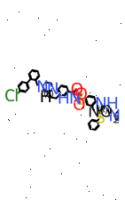 CN(C)CC[C@H](CSc1ccccc1)Nc1ccc(S(=O)(=O)NC(=O)c2ccc3c(c2)CC[C@@H]2CN(Cc4ccccc4-c4ccc(Cl)cc4)CCN32)cc1[N+](=O)[O-]